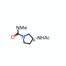 CNC(=O)N1CC[C@@H](NC(C)=O)C1